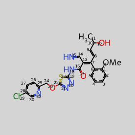 COc1ccccc1C(/C=C/C(C)O)=C(/C=N)C(=O)Nc1nnc(OCc2ccc(Cl)cn2)s1